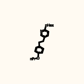 CCCCCCc1ccc(CCc2ccc(OCCC)cc2)cn1